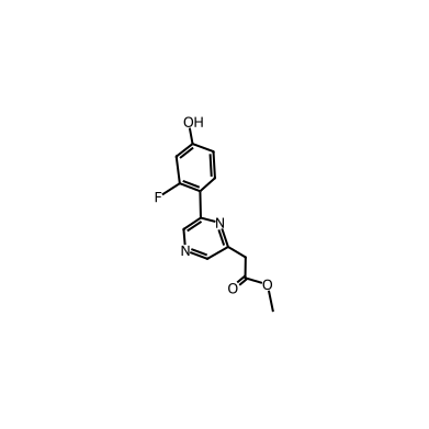 COC(=O)Cc1cncc(-c2ccc(O)cc2F)n1